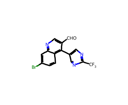 O=Cc1cnc2cc(Br)ccc2c1-c1cnc(C(F)(F)F)nc1